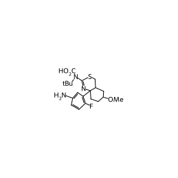 COC1CCC2(c3cc(N)ccc3F)N=C(N(C(=O)O)C(C)(C)C)SCC2C1